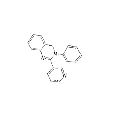 c1ccc(N2Cc3ccccc3N=C2c2cccnc2)cc1